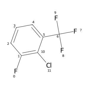 Fc1c[c]cc(C(F)(F)F)c1Cl